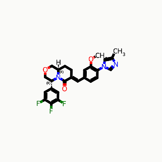 COc1cc(C=C2CC[C@@H]3COC[C@@H](c4cc(F)c(F)c(F)c4)N3C2=O)ccc1-n1cnc(C)c1